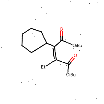 CC/C(C(=O)OCC(C)C)=C(/C(=O)OCC(C)C)C1CCCCC1